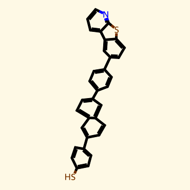 Sc1ccc(-c2ccc3cc(-c4ccc(-c5ccc6sc7ncccc7c6c5)cc4)ccc3c2)cc1